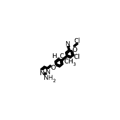 CC(C)(c1ccc(OCc2ccnc(N)n2)cc1)c1cc(Cl)c(OCCCl)c(C#N)c1